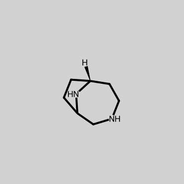 C1C[C@H]2CCC(CN1)N2